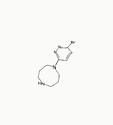 Brc1ccc(N2CCCNCCC2)nn1